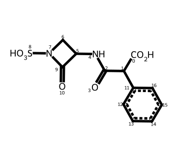 O=C(O)C(C(=O)NC1CN(S(=O)(=O)O)C1=O)c1ccccc1